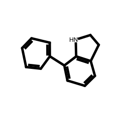 c1ccc(-c2cccc3c2NCC3)cc1